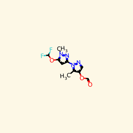 Cc1c(OC=O)cnn1-c1cc(OC(F)F)n(C)n1